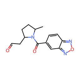 CC1CCC(CC=O)N1C(=O)c1ccc2nonc2c1